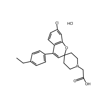 CCc1ccc(C2=CC3(CCN(CC(=O)O)CC3)Oc3cc(Cl)ccc32)cc1.Cl